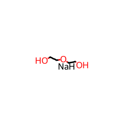 OCCOCCO.[NaH]